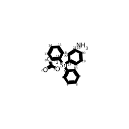 CC(=O)[O][Sn]([c]1ccccc1)([c]1ccccc1)[c]1ccccc1.N